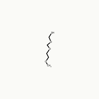 COCCOCOCS